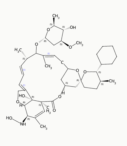 CO[C@H]1C[C@H](OC2/C(C)=C/CC3C[C@@H](C[C@]4(CC[C@H](C)[C@@H](C5CCCCC5)O4)O3)OC(=O)[C@@]3(C)C=C(C)[C@@H](NO)[C@H]4OC/C(=C\C=C\[C@@H]2C)[C@]43O)O[C@@H](C)[C@@H]1O